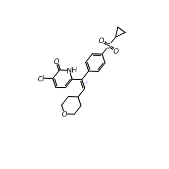 O=c1[nH]c(/C(=C\C2CCOCC2)c2ccc(S(=O)(=O)C3CC3)cc2)ccc1Cl